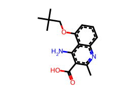 Cc1nc2cccc(OCC(C)(C)C)c2c(N)c1C(=O)O